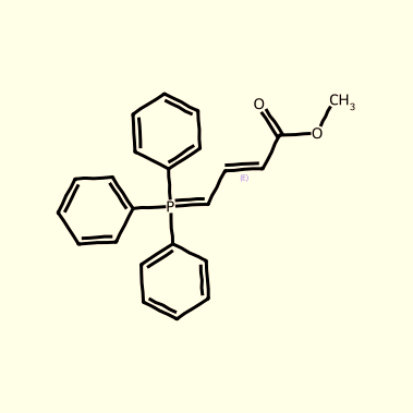 COC(=O)/C=C/C=P(c1ccccc1)(c1ccccc1)c1ccccc1